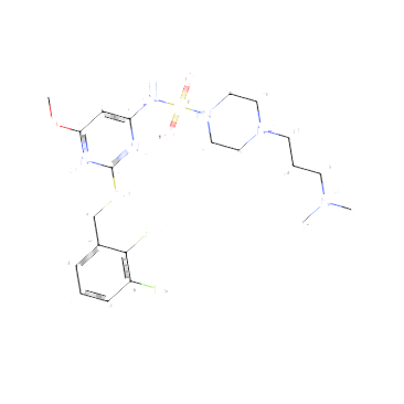 COc1cc(NS(=O)(=O)N2CCN(CCCN(C)C)CC2)nc(SCc2cccc(F)c2F)n1